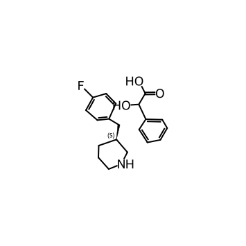 Fc1ccc(C[C@@H]2CCCNC2)cc1.O=C(O)C(O)c1ccccc1